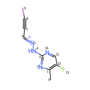 Cc1nc(N/N=C/C#CI)ncc1F